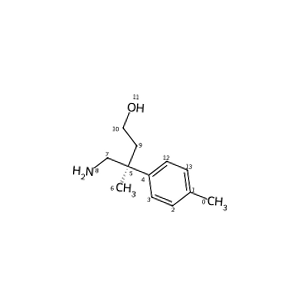 Cc1ccc([C@@](C)(CN)CCO)cc1